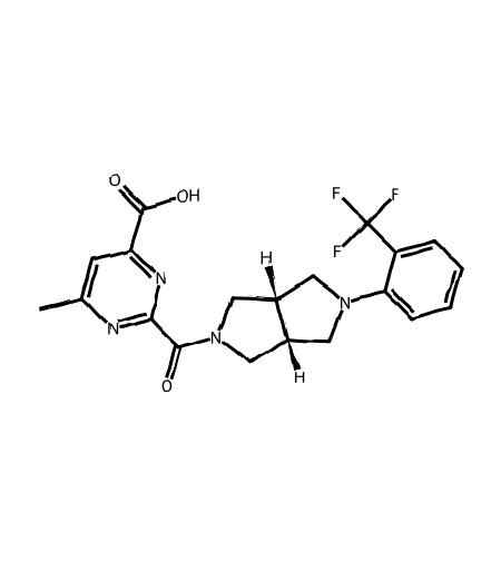 Cc1cc(C(=O)O)nc(C(=O)N2C[C@@H]3CN(c4ccccc4C(F)(F)F)C[C@@H]3C2)n1